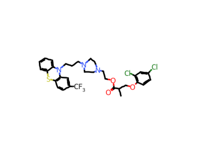 CC(COc1ccc(Cl)cc1Cl)C(=O)OCCN1CCN(CCCN2c3ccccc3Sc3ccc(C(F)(F)F)cc32)CC1